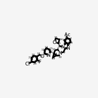 CC(=O)c1ccc2nc(CN3CC[C@]4(c5cccc(OCc6ccc(Cl)cc6F)n5)C[C@@H]4C3)n(C[C@@H]3CCO3)c2c1